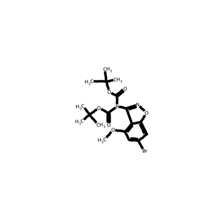 COc1cc(Br)cc2onc(N(C(=O)OC(C)(C)C)C(=O)OC(C)(C)C)c12